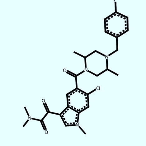 CC1CN(C(=O)c2cc3c(C(=O)C(=O)N(C)C)cn(C)c3cc2Cl)C(C)CN1Cc1ccc(F)cc1